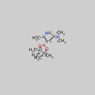 Cc1ncc(N(C)C)cc1B1OC(C)(C)C(C)(C)O1